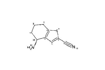 N#Cc1cc2c(s1)CCCC2N